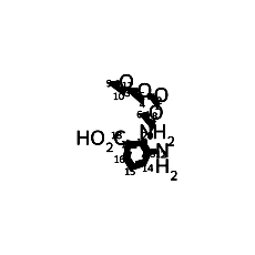 C1CO1.C1CO1.C1CO1.C1CO1.Nc1cccc(C(=O)O)c1N